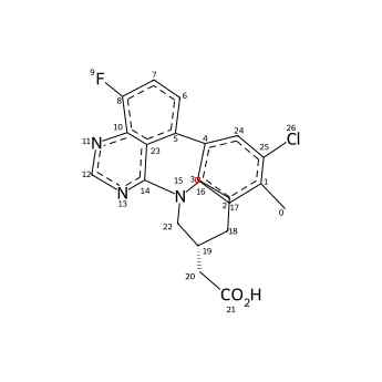 Cc1ccc(-c2ccc(F)c3ncnc(N4CCC[C@H](CC(=O)O)C4)c23)cc1Cl